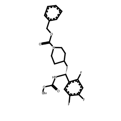 CC(C)(C)OC(=O)N[C@H](CC1CCN(C(=O)OCc2ccccc2)CC1)c1cc(F)c(F)cc1F